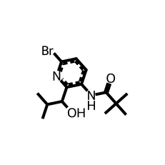 CC(C)C(O)c1nc(Br)ccc1NC(=O)C(C)(C)C